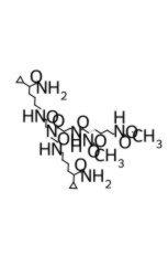 COC(=O)NCCCC[C@H](NC(=O)OC)C(=O)NCCC(=O)N(CC(=O)NCCCCC(C(N)=O)C1CC1)CC(=O)NCCCCC(C(N)=O)C1CC1